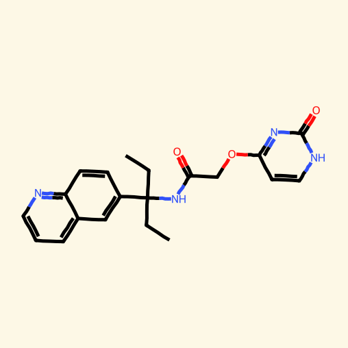 CCC(CC)(NC(=O)COc1cc[nH]c(=O)n1)c1ccc2ncccc2c1